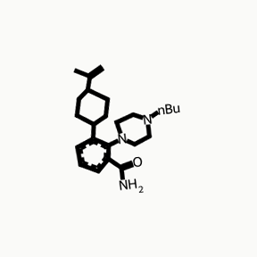 C=C(C)C1CCC(c2cccc(C(N)=O)c2N2CCN(CCCC)CC2)CC1